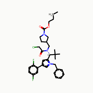 C[SiH2]CCOC(=O)N1CCC(CN(C(=O)CCl)[C@@H](c2cc(-c3cc(F)ccc3F)cn2Cc2ccccc2)C(C)(C)C)C1